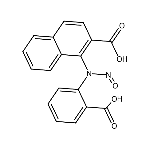 O=NN(c1ccccc1C(=O)O)c1c(C(=O)O)ccc2ccccc12